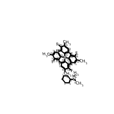 C[NH+](C)C1CCCCC1.Cc1cc(F)c([B-](c2c(F)cc(C)c(F)c2F)(c2c(F)cc(C)c(F)c2F)c2c(F)cc(C)c(F)c2F)c(F)c1F